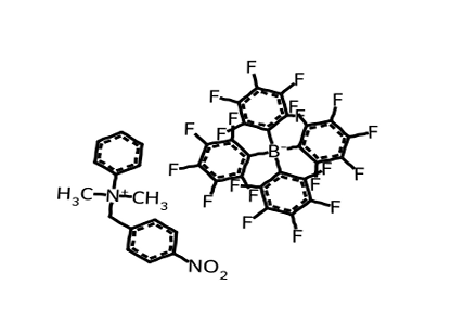 C[N+](C)(Cc1ccc([N+](=O)[O-])cc1)c1ccccc1.Fc1c(F)c(F)c([B-](c2c(F)c(F)c(F)c(F)c2F)(c2c(F)c(F)c(F)c(F)c2F)c2c(F)c(F)c(F)c(F)c2F)c(F)c1F